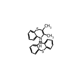 CC1=C(C)Sc2ccccc2N1.c1ccc2c(c1)Nc1ccccc1S2